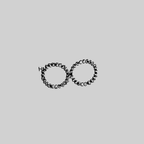 C1CCCCCCCCCCCC(N2CCOCCCCOCCOCCNCCOCCOCC2)CCCCCCCCCC1